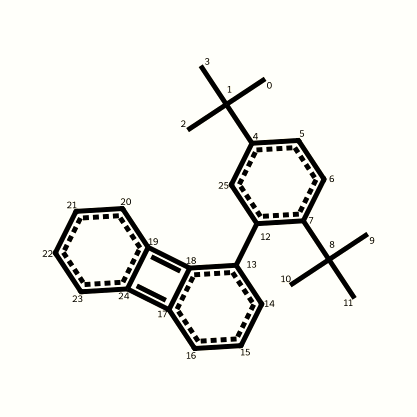 CC(C)(C)c1ccc(C(C)(C)C)c(-c2cccc3c2=c2ccccc2=3)c1